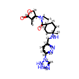 CC1=C(N2CC[C@]3(CC[C@@](C)(NCc4ccc(N5C=NNN5)nn4)CC3)C2=O)COC1=O